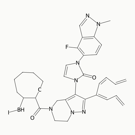 C=C/C=C\C(=C/C=C)c1nn2c(c1-n1ccn(-c3ccc4c(cnn4C)c3F)c1=O)CN(C(=O)C1CCCCCCC1BI)CC2